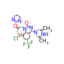 C[C@@H]1CN(c2nc(=O)n3c4c(cc(C(F)(F)F)cc24)[SH](Cl)C[C@@H](Oc2ncccn2)C3)C[C@H](C)N1